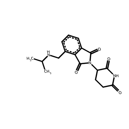 CC(C)NCc1cccc2c1C(=O)N(C1CCC(=O)NC1=O)C2=O